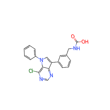 O=C(O)NCc1cccc(-c2cn(-c3ccccc3)c3c(Cl)ncnc23)c1